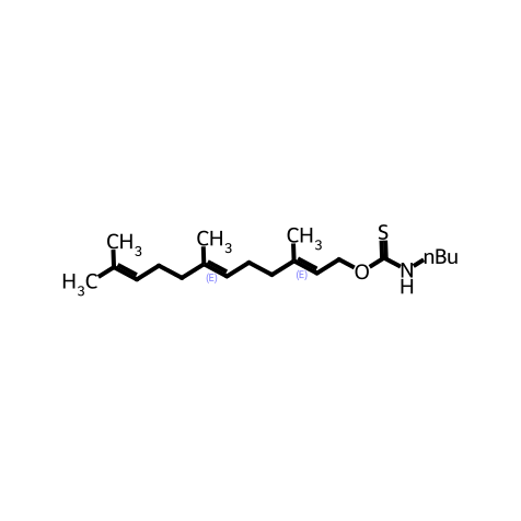 CCCCNC(=S)OC/C=C(\C)CC/C=C(\C)CCC=C(C)C